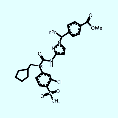 CCCC(c1ccc(C(=O)OC)cc1)n1ccc(NC(=O)[C@H](CC2CCCC2)c2ccc(S(C)(=O)=O)c(Cl)c2)n1